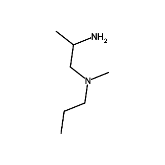 CCCN(C)CC(C)N